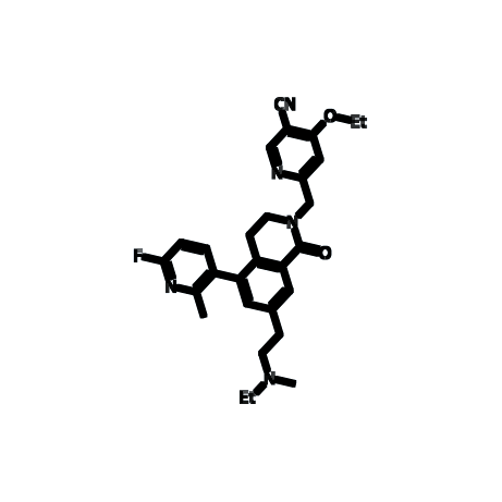 CCOc1cc(CN2CCc3c(cc(CCN(C)CC)cc3-c3ccc(F)nc3C)C2=O)ncc1C#N